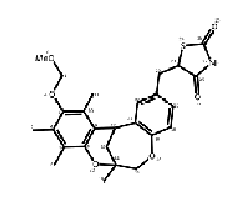 COCOc1c(C)c(C)c2c(c1C)C1CC(C)(COc3ccc(CC4SC(=O)NC4=O)cc31)O2